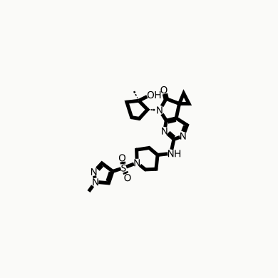 Cn1cc(S(=O)(=O)N2CCC(Nc3ncc4c(n3)N([C@@H]3CCC[C@@]3(C)O)C(=O)C43CC3)CC2)cn1